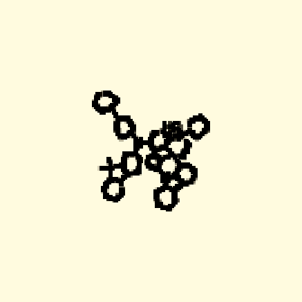 CC1(C)c2ccccc2-c2ccc(N(c3ccc(-c4ccccc4)cc3)c3ccc4c(c3)C3(c5ccccc5-n5c6ccccc6c6cccc3c65)c3ccccc3[PH]4(O)c3ccccc3)cc21